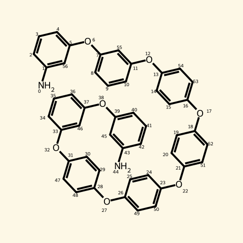 Nc1cccc(Oc2cccc(Oc3ccc(Oc4ccc(Oc5ccc(Oc6ccc(Oc7cccc(Oc8cccc(N)c8)c7)cc6)cc5)cc4)cc3)c2)c1